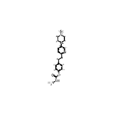 CC(=O)N1CCN(c2ccc(CCc3ccc(OC(=O)NN)cc3)nc2)CC1